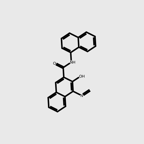 C=Nc1c(O)c(C(=O)Nc2cccc3ccccc23)cc2ccccc12